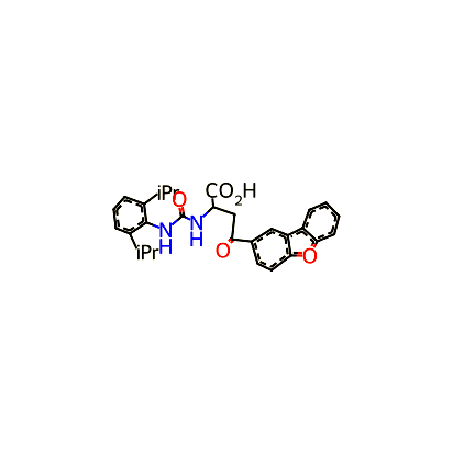 CC(C)c1cccc(C(C)C)c1NC(=O)NC(CC(=O)c1ccc2oc3ccccc3c2c1)C(=O)O